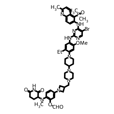 CCc1cc(Nc2ncc(Br)c(Nc3ccc4nc(C)ccc4c3P(C)(C)=O)n2)c(OC)cc1N1CCC(N2CCN(CC3CN(c4ccc(N(C)C5CCC(=O)NC5=O)c(OC=O)c4)C3)CC2)CC1